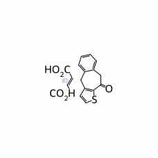 O=C(O)/C=C/C(=O)O.O=C1Cc2ccccc2Cc2ccsc21